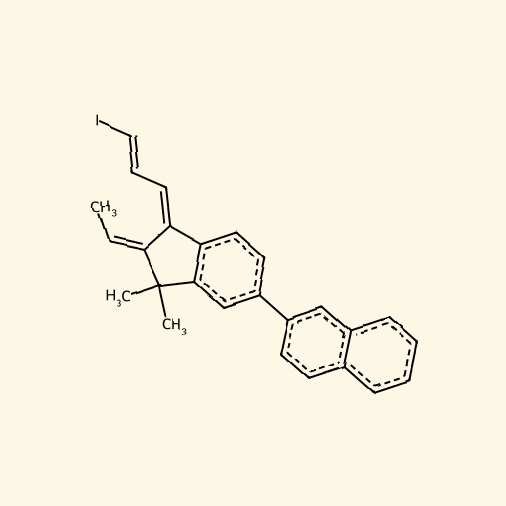 C\C=C1/C(=C\C=C\I)c2ccc(-c3ccc4ccccc4c3)cc2C1(C)C